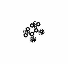 CC1(C)OB(c2cc(-c3cc(B4OC(C)(C)C(C)(C)O4)cc(N4c5ccccc5Oc5ccccc54)c3)cc(N3c4ccccc4Oc4ccccc43)c2)OC1(C)C